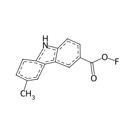 Cc1ccc2[nH]c3ccc(C(=O)OF)cc3c2c1